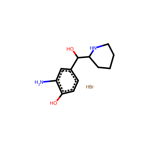 Br.Nc1cc(C(O)C2CCCCN2)ccc1O